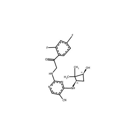 CC1(C)[C@@H](O)C[C@H]1Nc1nc(NCC(=O)c2ccc(F)cc2F)ncc1C#N